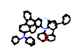 Fc1cc(-c2ccccc2)cc(-c2ccccc2)c1N(c1ccccc1)c1ccc2c3ccccc3c3ccc(N(c4ccccc4)c4ccccc4)c4ccc1c2c43